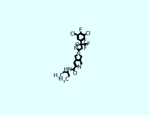 CCC(CC)NC(=O)c1cc2c(cn1)CN(C1=NOC(c3cc(Cl)c(F)c(Cl)c3)(C(F)(F)F)C1)C2